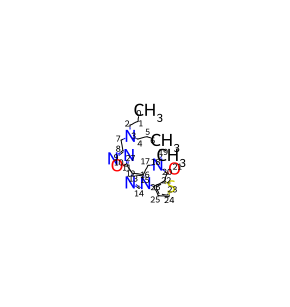 CCCN(CCC)Cc1noc(-c2ncn3c2CN(C)C(=O)c2sccc2-3)n1